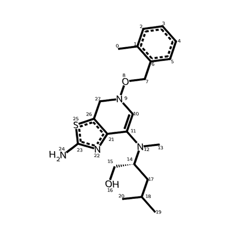 Cc1ccccc1CON1C=C(N(C)[C@@H](CO)CC(C)C)c2nc(N)sc2C1